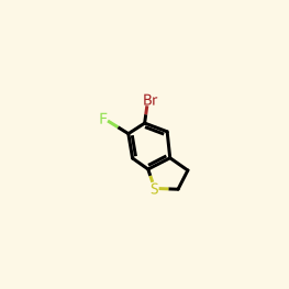 Fc1cc2c(cc1Br)CCS2